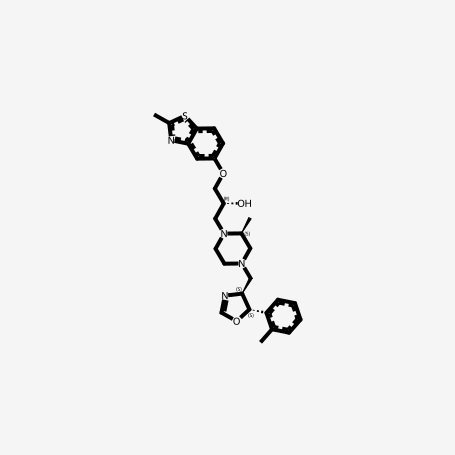 Cc1nc2cc(OC[C@H](O)CN3CCN(C[C@@H]4N=CO[C@H]4c4ccccc4C)C[C@@H]3C)ccc2s1